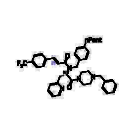 CCCCCc1ccc(CN(C(=O)/C=C/c2ccc(C(F)(F)F)cc2)[C@@H](Cc2ccccn2)C(=O)N2CCN(Cc3ccccc3)CC2)cc1